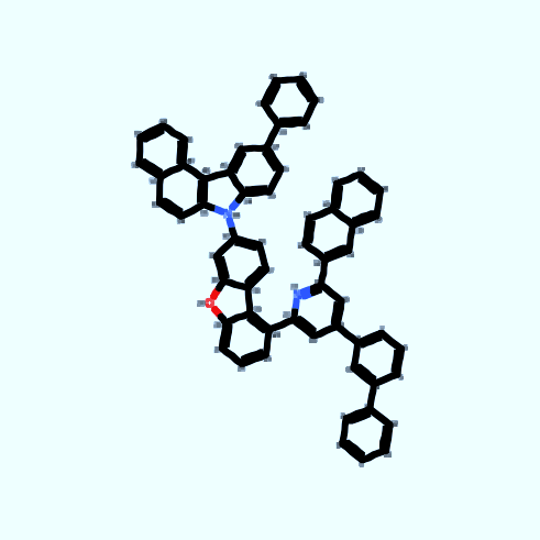 c1ccc(-c2cccc(-c3cc(-c4ccc5ccccc5c4)nc(-c4cccc5oc6cc(-n7c8ccc(-c9ccccc9)cc8c8c9ccccc9ccc87)ccc6c45)c3)c2)cc1